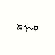 CC(O)COC(=O)NCCN1CCCC1